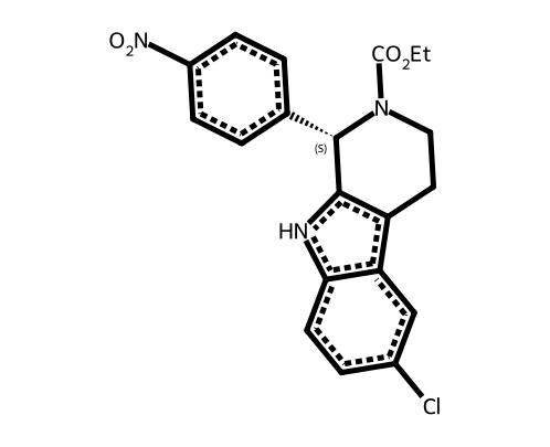 CCOC(=O)N1CCc2c([nH]c3ccc(Cl)cc23)[C@@H]1c1ccc([N+](=O)[O-])cc1